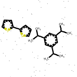 CC(C)c1cc(C(C)C)cc(C(C)C)c1.c1csc(-c2cccs2)c1